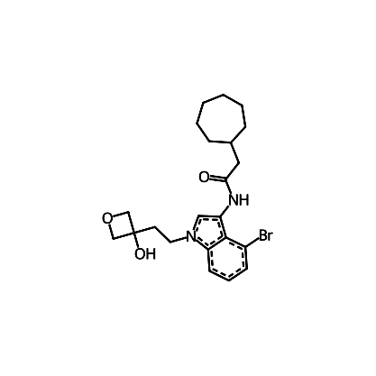 O=C(CC1CCCCCC1)Nc1cn(CCC2(O)COC2)c2cccc(Br)c12